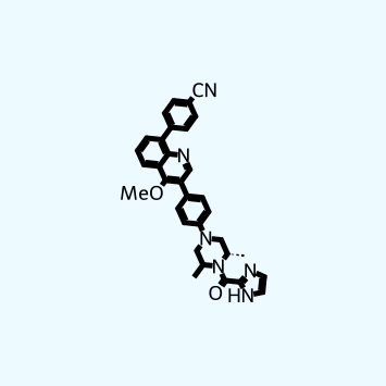 COc1c(-c2ccc(N3CC(C)N(C(=O)c4ncc[nH]4)[C@@H](C)C3)cc2)cnc2c(-c3ccc(C#N)cc3)cccc12